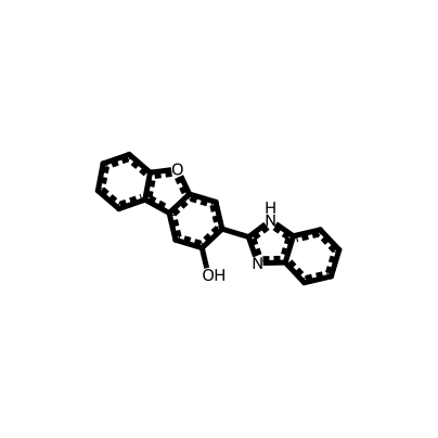 Oc1cc2c(cc1-c1nc3ccccc3[nH]1)oc1ccccc12